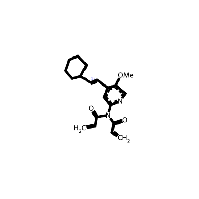 C=CC(=O)N(C(=O)C=C)c1cc(/C=C/C2CCCCC2)c(OC)cn1